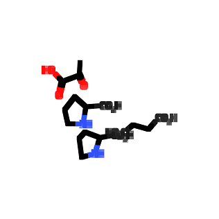 CC(=O)C(=O)O.O=C(O)C1CCCN1.O=C(O)C1CCCN1.O=C(O)CCC(=O)O